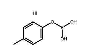 Cc1ccc(OB(O)O)cc1.I